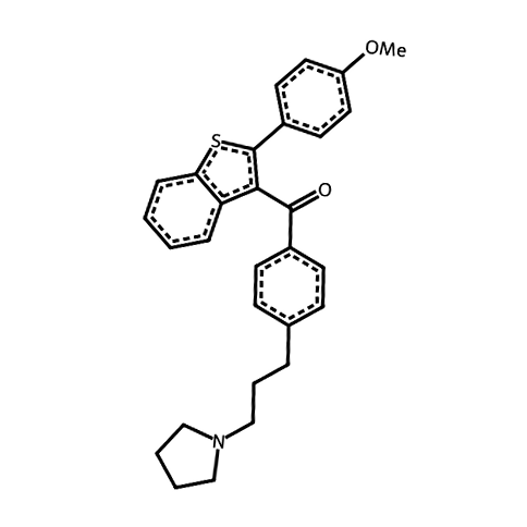 COc1ccc(-c2sc3ccccc3c2C(=O)c2ccc(CCCN3CCCC3)cc2)cc1